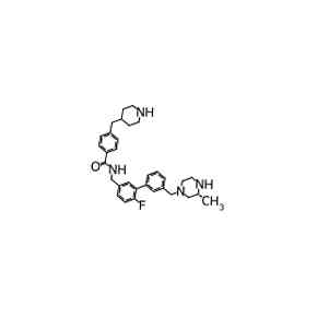 C[C@H]1CN(Cc2cccc(-c3cc(CNC(=O)c4ccc(CC5CCNCC5)cc4)ccc3F)c2)CCN1